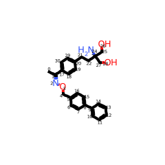 CC(=NOCc1ccc(-c2ccccc2)cc1)c1ccc(CCC(N)(CO)CO)cc1